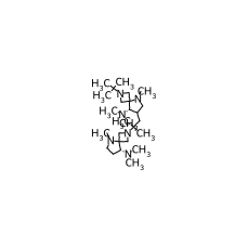 CN(C)[C@H]1C(CC(C)(C)N2CC3(C2)[C@H](N(C)C)CCN3C)CN(C)C12CN(C(C)(C)C)C2